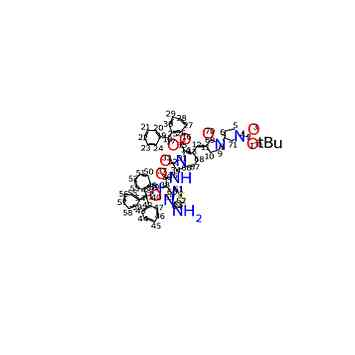 CC(C)(C)OC(=O)N1CCC(N2CC/C(=C\C3=C(C(=O)OC(c4ccccc4)c4ccccc4)N4C(=O)[C@@H](NC(=O)/C(=N/OC(c5ccccc5)(c5ccccc5)c5ccccc5)c5nsc(N)n5)C4CC3)C2=O)C1